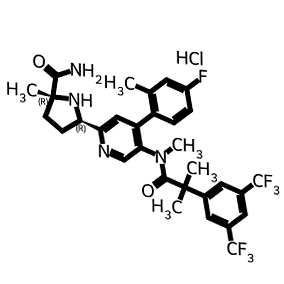 Cc1cc(F)ccc1-c1cc([C@H]2CC[C@](C)(C(N)=O)N2)ncc1N(C)C(=O)C(C)(C)c1cc(C(F)(F)F)cc(C(F)(F)F)c1.Cl